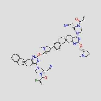 C=CC(=O)N1CCN(c2nc(OC[C@@H]3CCCN3C)nc3c2CC[C@]2(CCc4cc(C5C[C@@H](COc6nc7c(c(N8CCN(C(=O)C(=C)F)[C@@H](CC#N)C8)n6)CC[C@]6(CCc8ccccc8C6)C7)N(C)C5)ccc4C2)C3)C[C@@H]1CC#N